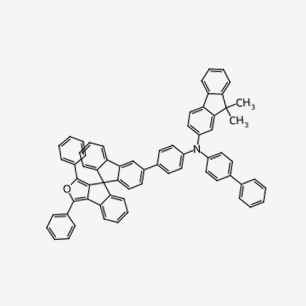 CC1(C)c2ccccc2-c2ccc(N(c3ccc(-c4ccccc4)cc3)c3ccc(-c4ccc5c(c4)-c4ccccc4C54c5ccccc5-c5c(-c6ccccc6)oc(-c6ccccc6)c54)cc3)cc21